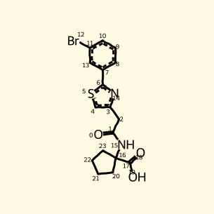 O=C(Cc1csc(-c2cccc(Br)c2)n1)NC1(C(=O)O)CCCC1